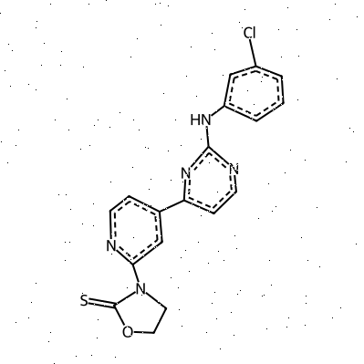 S=C1OCCN1c1cc(-c2ccnc(Nc3cccc(Cl)c3)n2)ccn1